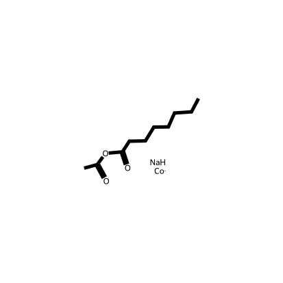 CCCCCCCC(=O)OC(C)=O.[Co].[NaH]